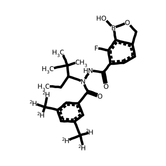 [2H]C([2H])([2H])c1cc(C(=O)N(NC(=O)c2ccc3c(c2F)B(O)OC3)C(CC)C(C)(C)C)cc(C([2H])([2H])[2H])c1